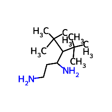 CC(C)(C)C(C(N)CCN)C(C)(C)C